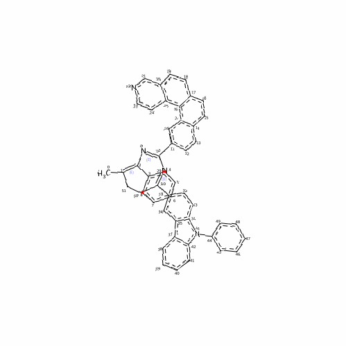 C\C1=C(c2ccccc2)/N=C(c2ccc3ccc4ccc5cnccc5c4c3c2)\N=C(\c2ccc3c(c2)c2ccccc2n3-c2ccccc2)CC1